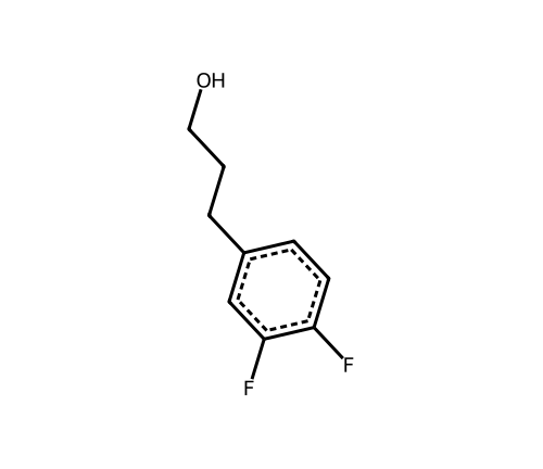 OCCCc1ccc(F)c(F)c1